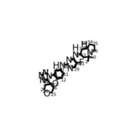 CC1(C)C[C@H](Nc2nc(Nc3ccc4c(c3)-n3nnnc3C3(CCOCC3)O4)ncc2F)C[C@@H]2CCCN21